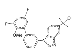 COc1c(F)cc(F)cc1-c1cccc(-n2cnc3cc(C(C)(C)O)ccc32)c1